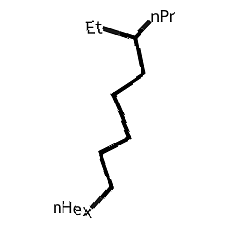 C[CH]CC(CC)CCCCCCCCCCC